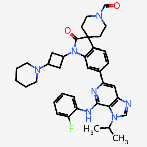 CC(C)n1cnc2cc(-c3ccc4c(c3)N(C3CC(N5CCCCC5)C3)C(=O)C43CCN(C=O)CC3)nc(Nc3ccccc3F)c21